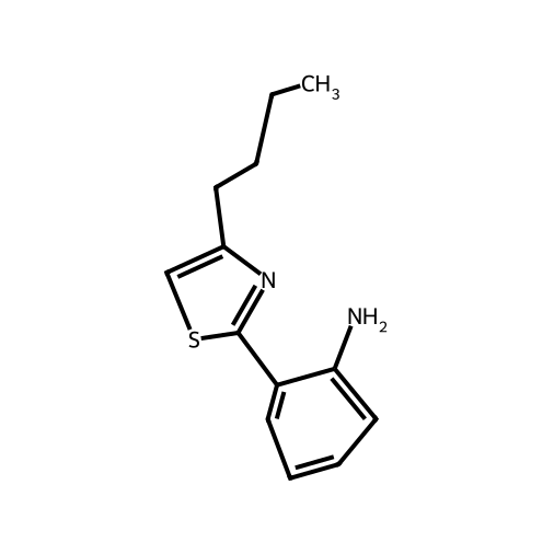 CCCCc1csc(-c2ccccc2N)n1